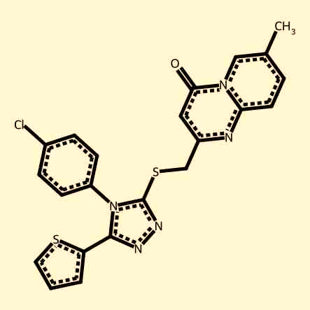 Cc1ccc2nc(CSc3nnc(-c4cccs4)n3-c3ccc(Cl)cc3)cc(=O)n2c1